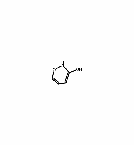 OC1=[C]C=CON1